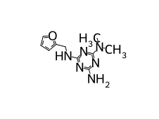 CN(C)c1nc(N)nc(NCc2ccco2)n1